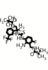 CN(C)C(=O)NCc1c(F)ccc(NC(=S)NC(C)(COC(=O)C(C)(C)C)c2cccc(C(F)(F)F)c2)c1N